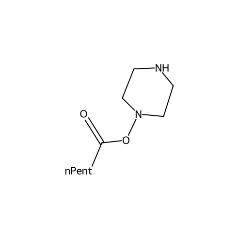 CCCCCC(=O)ON1CCNCC1